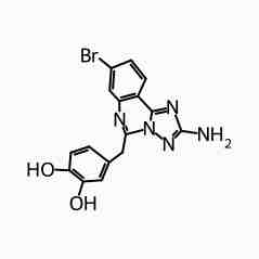 Nc1nc2c3ccc(Br)cc3nc(Cc3ccc(O)c(O)c3)n2n1